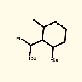 CC(C)C(C1C(C)CCCC1C(C)(C)C)C(C)(C)C